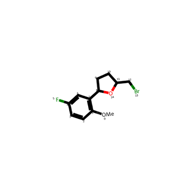 COc1ccc(F)cc1C1CCC(CBr)O1